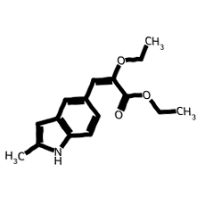 CCOC(=O)/C(=C\c1ccc2[nH]c(C)cc2c1)OCC